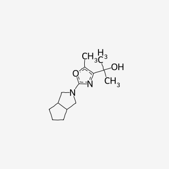 Cc1oc(N2CC3CCCC3C2)nc1C(C)(C)O